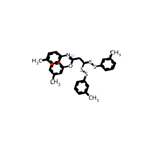 Cc1ccc(/N=C(/CC(SSc2cccc(C)c2)SSc2cccc(C)c2)Oc2cccc(C)c2)cc1